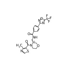 Cc1ncsc1C(=O)N1CCOC[C@@H]1CNC(=O)c1ccc(-c2noc(C(F)(F)F)n2)cc1